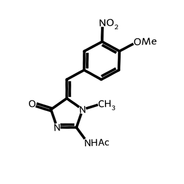 COc1ccc(/C=C2/C(=O)N=C(NC(C)=O)N2C)cc1[N+](=O)[O-]